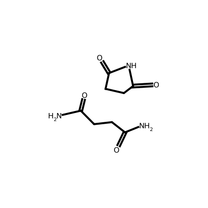 NC(=O)CCC(N)=O.O=C1CCC(=O)N1